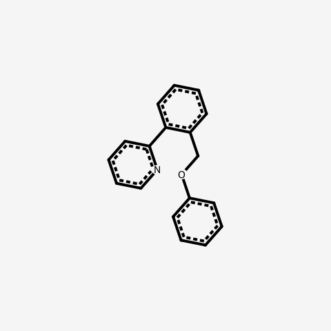 c1ccc(OCc2ccccc2-c2ccccn2)cc1